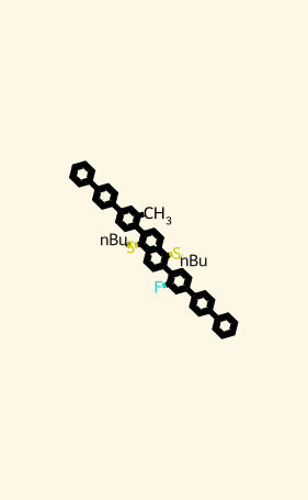 CCCCSc1c(-c2ccc(-c3ccc(-c4ccccc4)cc3)cc2C)ccc2c(SCCCC)c(-c3ccc(-c4ccc(-c5ccccc5)cc4)cc3F)ccc12